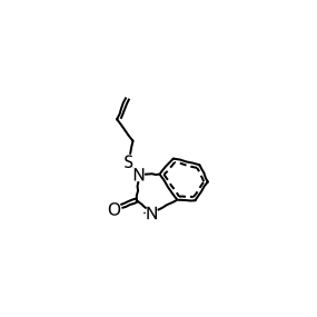 C=CCSN1C(=O)[N]c2ccccc21